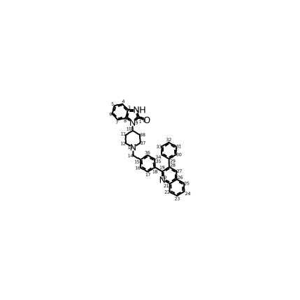 O=c1[nH]c2ccccc2n1C1CCN(Cc2ccc(-c3nc4ccccc4cc3-c3ccccc3)cc2)CC1